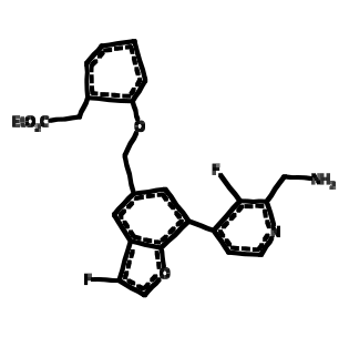 CCOC(=O)Cc1ccccc1OCc1cc(-c2ccnc(CN)c2F)c2occ(F)c2c1